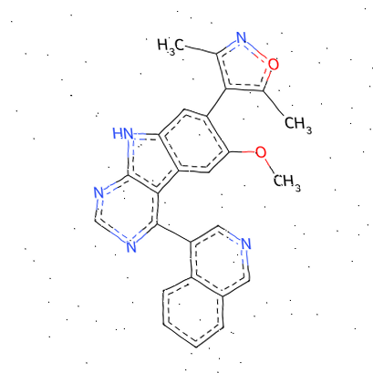 COc1cc2c(cc1-c1c(C)noc1C)[nH]c1ncnc(-c3cncc4ccccc34)c12